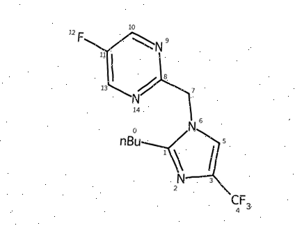 CCCCc1nc(C(F)(F)F)cn1Cc1ncc(F)cn1